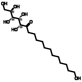 O=C(CCCCCCCCCCCCO)[C@H](O)[C@@H](O)[C@H](O)[C@H](O)CO